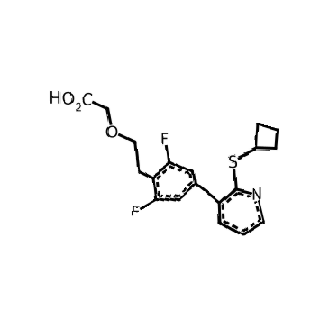 O=C(O)COCCc1c(F)cc(-c2cccnc2SC2CCC2)cc1F